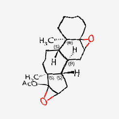 CC(=O)OC12OC1C[C@H]1[C@@H]3CC4OC45CCCC[C@]5(C)[C@H]3CC[C@@]12C